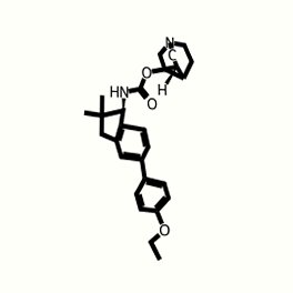 CCOc1ccc(-c2ccc3c(c2)CC(C)(C)[C@H]3NC(=O)O[C@@H]2CN3CCC2CC3)cc1